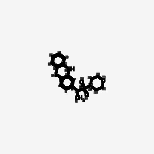 CC(c1ccc2c(c1)Nc1ccccc1S2)S(=O)(=O)N1CCOCC1